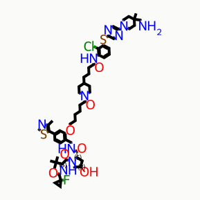 Cc1ncsc1-c1ccc(CNC(=O)[C@@H]2C[C@@H](O)CN2C(=O)[C@@H](NC(=O)C2(F)CC2)C(C)(C)C)c(OCCCCCC(=O)N2CCC(CCCC(=O)Nc3cccc(Sc4cnc(N5CCC(C)(CN)CC5)cn4)c3Cl)CC2)c1